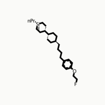 CCC[Si@H]1CC[C@H]([C@H]2CC[C@H](CCCCc3ccc(OCCF)cc3)CC2)CC1